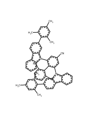 Cc1cc(C)c(-c2ccc3c4ccccc4n(-c4cc(C#N)cc(-n5c6ccccc6c6ccc(-c7c(C)cc(C)cc7C)cc65)c4-c4c(C#N)cccc4C(F)(F)F)c3c2)c(C)c1